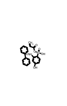 C=CC(=O)O[As](=O)(O)c1ccc(O)cc1NC(C)=O.c1ccc(-c2ccccc2)cc1